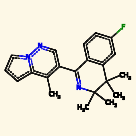 Cc1c(C2=NC(C)(C)C(C)(C)c3cc(F)ccc32)cnn2cccc12